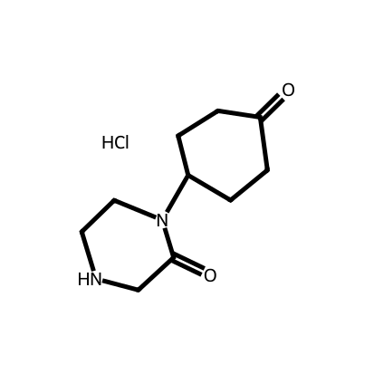 Cl.O=C1CCC(N2CCNCC2=O)CC1